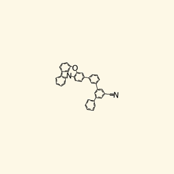 N#Cc1cc(-c2ccccc2)cc(-c2cccc(-c3ccc4c(c3)Oc3cccc5c6ccccc6n-4c35)c2)c1